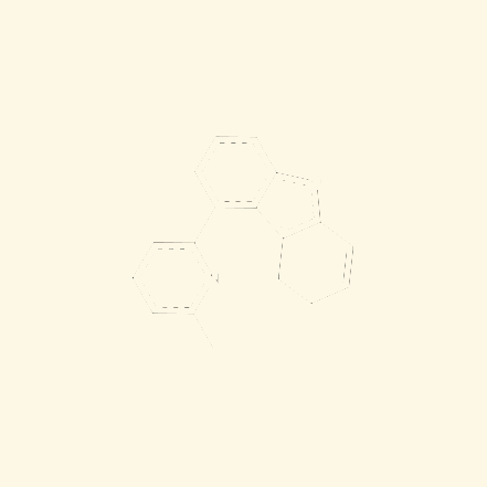 Cc1cccc(-c2cccc3oc4c(c23)CCC=C4)n1